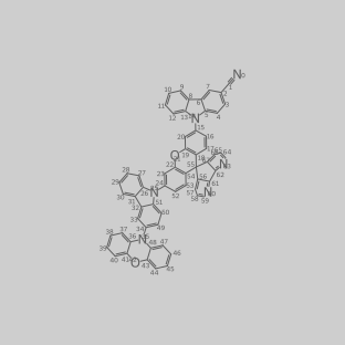 N#Cc1ccc2c(c1)c1ccccc1n2-c1ccc2c(c1)Oc1cc(-n3c4ccccc4c4cc(N5c6ccccc6Oc6ccccc65)ccc43)ccc1C21c2cccnc2-c2ncccc21